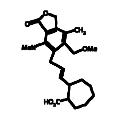 CNc1c(CC=CC2CCCCCC2C(=O)O)c(COC)c(C)c2c1C(=O)OC2